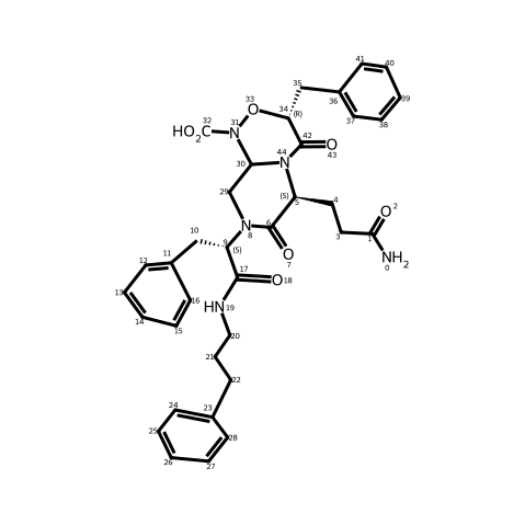 NC(=O)CC[C@H]1C(=O)N([C@@H](Cc2ccccc2)C(=O)NCCCc2ccccc2)CC2N(C(=O)O)O[C@H](Cc3ccccc3)C(=O)N21